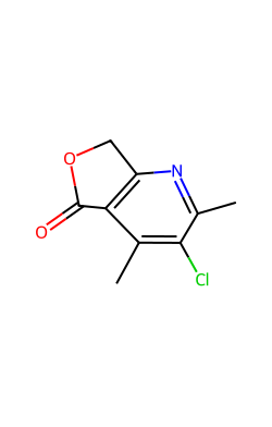 Cc1nc2c(c(C)c1Cl)C(=O)OC2